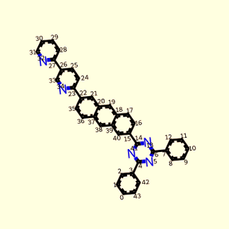 c1ccc(-c2nc(-c3ccccc3)nc(-c3ccc4cc5cc(-c6ccc(-c7ccccn7)cn6)ccc5cc4c3)n2)cc1